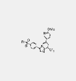 COc1ccc(-c2cc(C(F)(F)F)c3ncc(-c4ccc(S(=O)(=O)C(C)C)cc4)n3c2)cn1